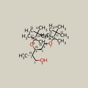 C[C@@H](CO)[C@H](CCO[Si](C)(C)C(C)(C)C)O[Si](C)(C)C(C)(C)C